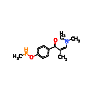 CPOc1ccc(C(=O)/C(C)=C\N(C)C)cc1